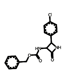 O=C(NC1C(=O)NC1c1ccc(Cl)cc1)OCc1ccccc1